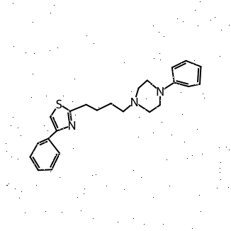 c1ccc(-c2csc(CCCCN3CCN(c4ccccc4)CC3)n2)cc1